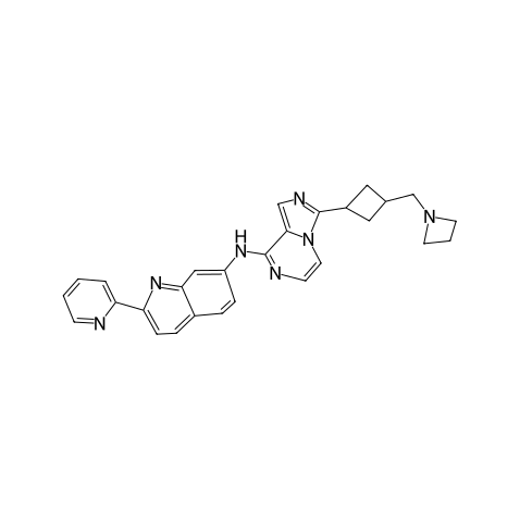 c1ccc(-c2ccc3ccc(Nc4nccn5c(C6CC(CN7CCC7)C6)ncc45)cc3n2)nc1